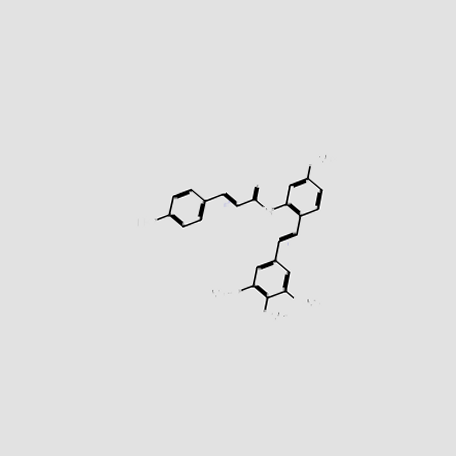 COc1ccc(/C=C/c2cc(OC)c(OC)c(OC)c2)c(NC(=O)/C=C/c2ccc(O)cc2)c1